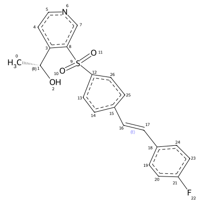 C[C@@H](O)c1ccncc1S(=O)(=O)c1ccc(/C=C/c2ccc(F)cc2)cc1